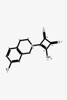 CCc1ccc2c(c1)CN(c1c(N)c(=O)c1=O)CC2